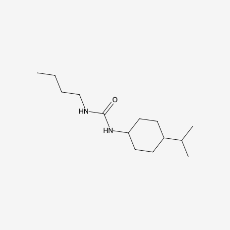 CCCCNC(=O)NC1CCC(C(C)C)CC1